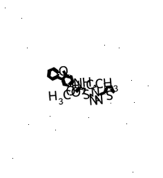 C=C(C)n1c(SCC(=O)Nc2cc3oc4ccccc4c3cc2OC)nnc1-c1cccs1